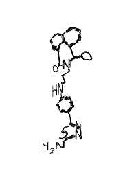 Nc1nnc(-c2ccc(NCCCN3C(=O)c4cccc5cccc(c45)C3=O)cc2)s1